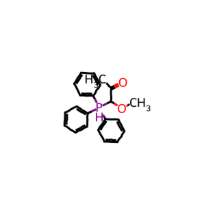 COC(C(C)=O)[PH](c1ccccc1)(c1ccccc1)c1ccccc1